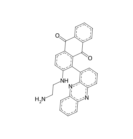 NCCNc1ccc2c(c1-c1cccc3nc4ccccc4nc13)C(=O)c1ccccc1C2=O